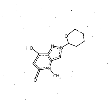 Cn1c(=O)cc(O)c2nn(C3CCCCO3)cc21